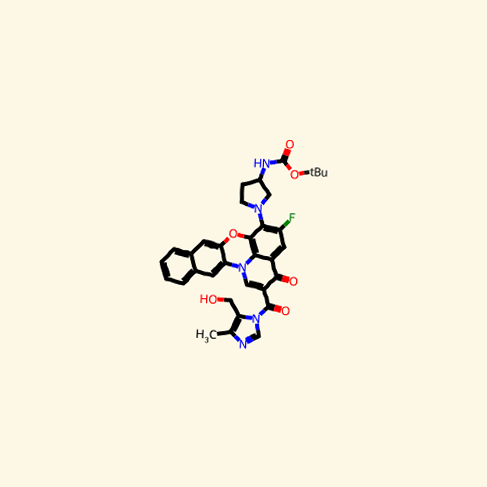 Cc1ncn(C(=O)c2cn3c4c(c(N5CCC(NC(=O)OC(C)(C)C)C5)c(F)cc4c2=O)Oc2cc4ccccc4cc2-3)c1CO